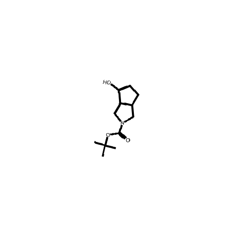 CC(C)(C)OC(=O)N1CC2CCC(O)C2C1